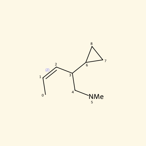 C/C=C\C(CNC)C1CC1